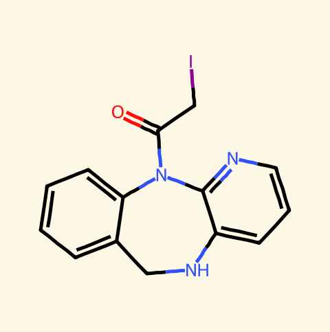 O=C(CI)N1c2ccccc2CNc2cccnc21